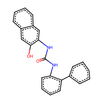 O=C(Nc1cc2ccccc2cc1O)Nc1ccccc1-c1ccccc1